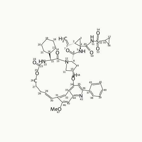 C=C[C@@H]1C[C@]1(NC(=O)[C@@H]1C[C@@H]2CN1C(=O)[C@H](C1CCCCC1)NC(=O)OCCC/C=C/c1cc3c(cc(-c4ccccc4)nc3cc1OC)O2)C(=O)NS(=O)(=O)C1CC1